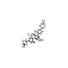 Cl.Fc1cc(C2=CCNCC2)ccc1-c1nnc(-c2ccc(C3=CCNCC3)cc2F)n1CC(F)(F)F